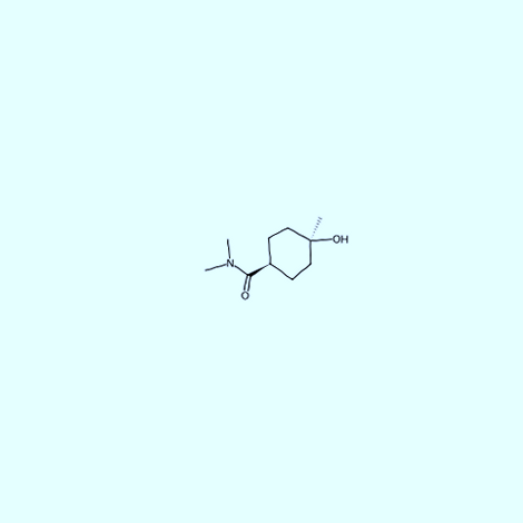 CN(C)C(=O)[C@H]1CC[C@@](C)(O)CC1